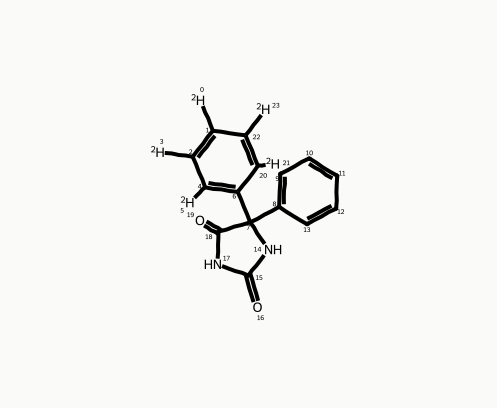 [2H]c1c([2H])c([2H])c(C2(c3ccccc3)NC(=O)NC2=O)c([2H])c1[2H]